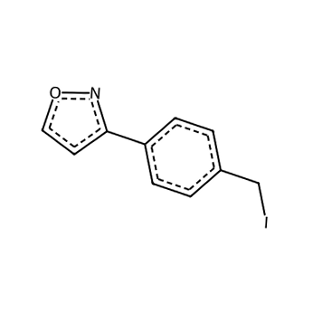 ICc1ccc(-c2ccon2)cc1